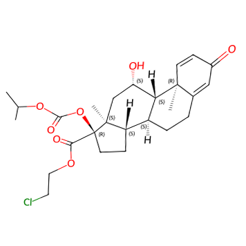 CC(C)OC(=O)O[C@]1(C(=O)OCCCl)CC[C@H]2[C@@H]3CCC4=CC(=O)C=C[C@]4(C)[C@H]3[C@@H](O)C[C@@]21C